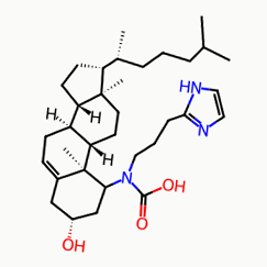 CC(C)CCC[C@@H](C)[C@H]1CC[C@H]2[C@@H]3CC=C4C[C@@H](O)CC(N(CCCc5ncc[nH]5)C(=O)O)[C@]4(C)[C@H]3CC[C@]12C